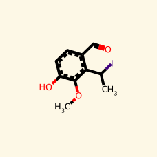 COc1c(O)ccc(C=O)c1C(C)I